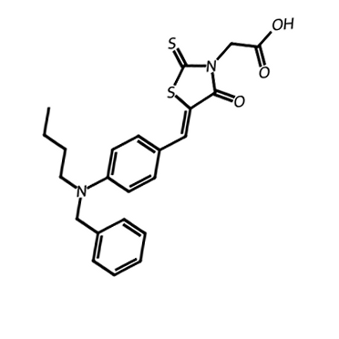 CCCCN(Cc1ccccc1)c1ccc(/C=C2\SC(=S)N(CC(=O)O)C2=O)cc1